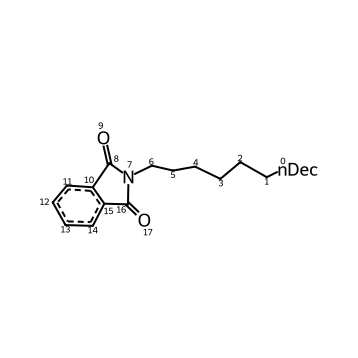 CCCCCCCCCCCCCCCCN1C(=O)c2ccccc2C1=O